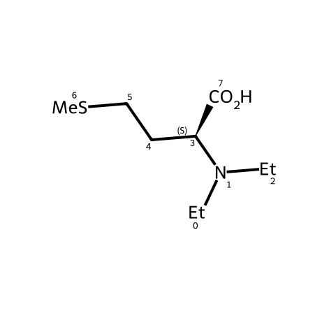 CCN(CC)[C@@H](CCSC)C(=O)O